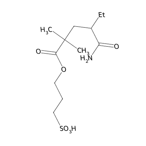 CCC(CC(C)(C)C(=O)OCCCS(=O)(=O)O)C(N)=O